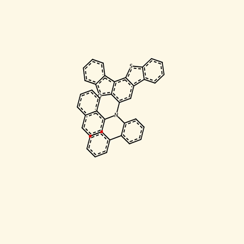 c1ccc(-c2ccccc2N(c2cccc3ccccc23)c2cc3c4ccccc4sc3c3c2oc2ccccc23)cc1